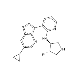 F[C@H]1CNC[C@@H]1Nc1ncccc1-c1cnc2cc(C3CC3)cnn12